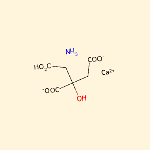 N.O=C([O-])CC(O)(CC(=O)O)C(=O)[O-].[Ca+2]